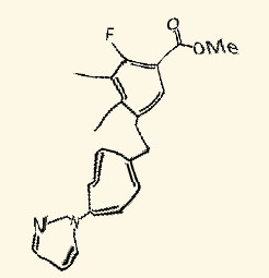 COC(=O)c1cc(Cc2ccc(-n3cccn3)cc2)c(C)c(C)c1F